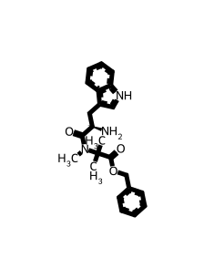 CN(C(=O)[C@H](N)Cc1c[nH]c2ccccc12)C(C)(C)C(=O)OCc1ccccc1